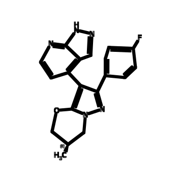 C[C@H]1COc2c(-c3ccnc4[nH]ncc34)c(-c3ccc(F)cc3)nn2C1